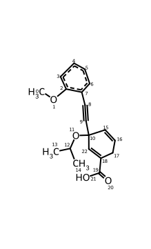 COc1ccccc1C#CC1(OC(C)C)C=CCC(C(=O)O)=C1